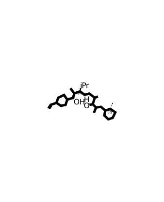 C=CC1CCC(C(O)C(C)[C@H](CCC(C)C(O)C(C)CC2CCCC[C@H]2C)C(C)C)CC1